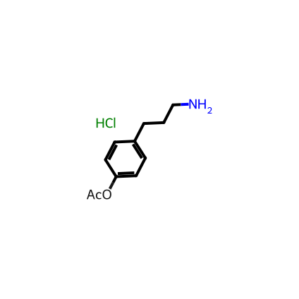 CC(=O)Oc1ccc(CCCN)cc1.Cl